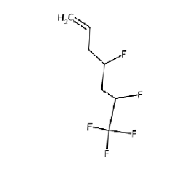 C=CCC(F)CC(F)C(F)(F)F